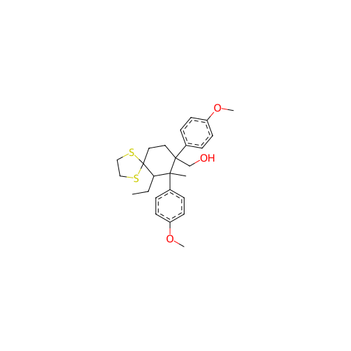 CCC1C2(CCC(CO)(c3ccc(OC)cc3)C1(C)c1ccc(OC)cc1)SCCS2